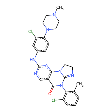 Cc1cccc(Cl)c1N1C(=O)c2cnc(Nc3ccc(N4CCN(C)CC4)c(Cl)c3)nc2N2CCN=C21